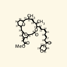 COC(=O)/C=C1\CC2CC(=O)OC(/C=C/C=C\C=C\CC(=O)N3CCOCC3)C(C)/C=C/C(C)CC3CCCC(CC(C1)O2)O3